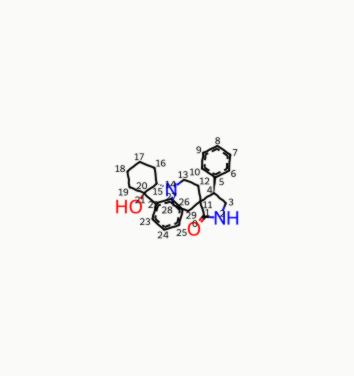 O=C1NC[C@H](c2ccccc2)C12CCN([C@H]1CCCC[C@@]1(O)c1ccccc1)CC2